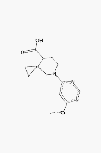 COc1cc(N2CCC(C(=O)O)C3(CC3)C2)ncn1